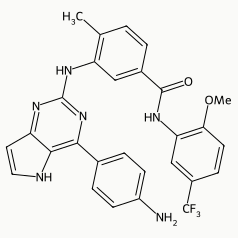 COc1ccc(C(F)(F)F)cc1NC(=O)c1ccc(C)c(Nc2nc(-c3ccc(N)cc3)c3[nH]ccc3n2)c1